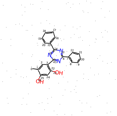 Cc1cc(-c2nc(-c3ccccc3)nc(-c3ccccc3)n2)c(O)cc1O